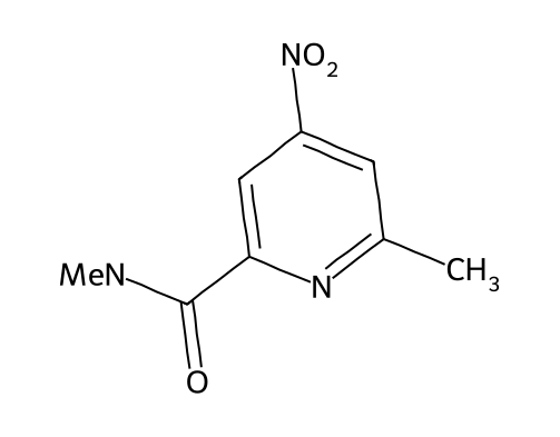 CNC(=O)c1cc([N+](=O)[O-])cc(C)n1